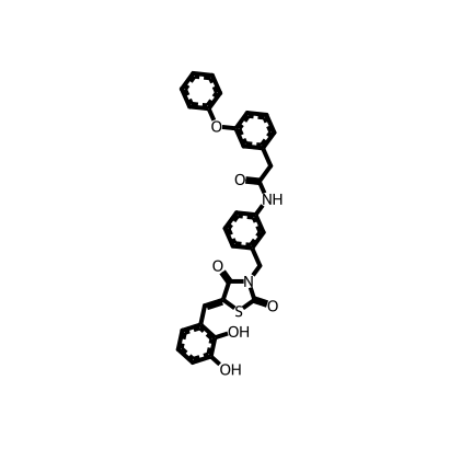 O=C(Cc1cccc(Oc2ccccc2)c1)Nc1cccc(CN2C(=O)S/C(=C\c3cccc(O)c3O)C2=O)c1